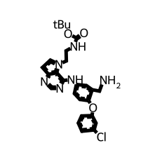 CC(C)(C)OC(=O)NCCn1ccc2ncnc(Nc3ccc(Oc4cccc(Cl)c4)c(CN)c3)c21